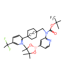 CC(F)(F)c1ccc(C23CCC(CN(C(=O)OC(C)(C)C(F)(F)F)c4cc(B5OC(C)(C)C(C)(C)O5)ccn4)(CC2)CC3)nc1